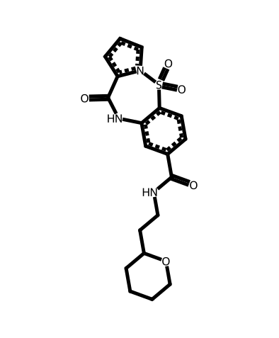 O=C(NCCC1CCCCO1)c1ccc2c(c1)NC(=O)c1cccn1S2(=O)=O